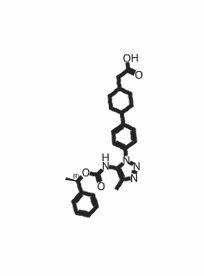 Cc1nnn(-c2ccc(C3CCC(CC(=O)O)CC3)cc2)c1NC(=O)O[C@H](C)c1ccccc1